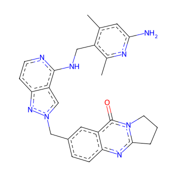 Cc1cc(N)nc(C)c1CNc1nccc2nn(Cc3ccc4nc5n(c(=O)c4c3)CCC5)cc12